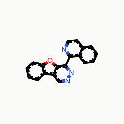 c1ccc2c(-c3nncc4c3oc3ccccc34)nccc2c1